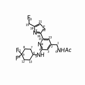 CC(=O)NCc1cc(NC2CCC(F)(F)CC2)nc(-c2nc(CF)cs2)c1